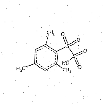 Cc1cc(C)c(S(=O)(=O)S(=O)(=O)O)c(C)c1